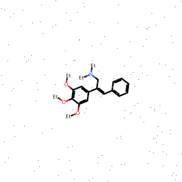 CCOc1cc(C(=Cc2ccccc2)CN(CC)CC)cc(OCC)c1OCC